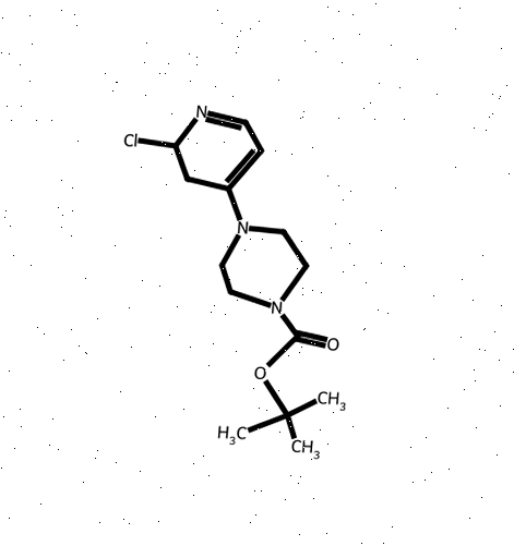 CC(C)(C)OC(=O)N1CCN(C2=CC=NC(Cl)C2)CC1